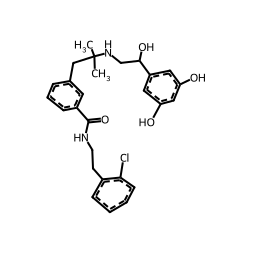 CC(C)(Cc1cccc(C(=O)NCCc2ccccc2Cl)c1)NCC(O)c1cc(O)cc(O)c1